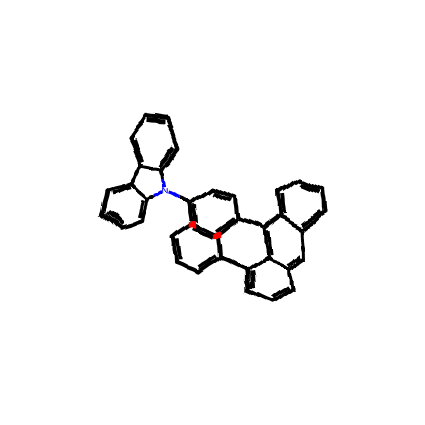 c1ccc(-c2cccc3cc4ccccc4c(-c4ccc(-n5c6ccccc6c6ccccc65)cc4)c23)cc1